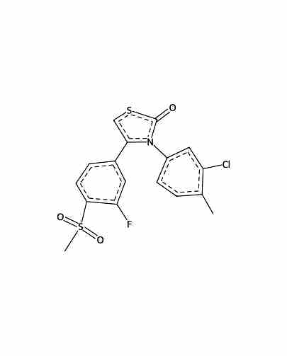 Cc1ccc(-n2c(-c3ccc(S(C)(=O)=O)c(F)c3)csc2=O)cc1Cl